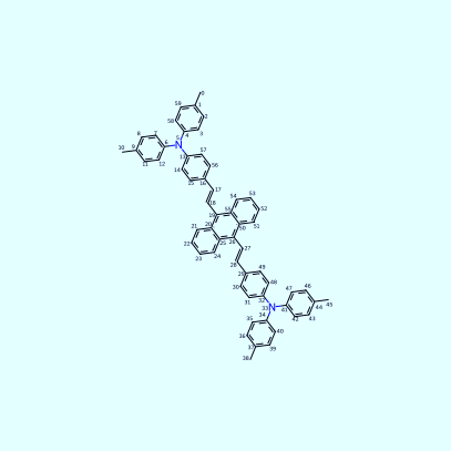 Cc1ccc(N(c2ccc(C)cc2)c2ccc(/C=C/c3c4ccccc4c(/C=C/c4ccc(N(c5ccc(C)cc5)c5ccc(C)cc5)cc4)c4ccccc34)cc2)cc1